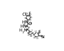 CN[C@H](C[C@H](N)c1cc(-c2ccc(C#N)c(F)c2)cs1)C(=O)Nc1ccc(F)c(Cl)c1